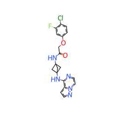 O=C(COc1ccc(Cl)c(F)c1)NC12CC(Nc3nccn4nccc34)(C1)C2